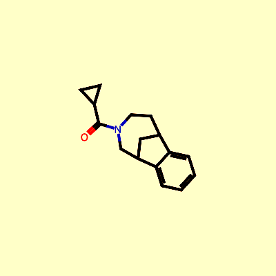 O=C(C1CC1)N1CCC2CC(C1)c1ccccc12